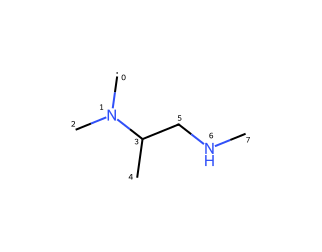 [CH2]N(C)C(C)CNC